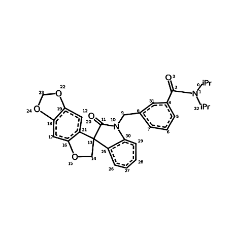 CC(C)N(C(=O)c1cccc(CN2C(=O)C3(COc4cc5c(cc43)OCO5)c3ccccc32)c1)C(C)C